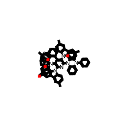 Cc1ccc2c(c1)c1cc(C)ccc1n2-c1nc(N2c3ccccc3N(c3ccccc3)c3ccccc32)c(-n2c3ccc(C)cc3c3cc(C)ccc32)c(-c2cccc3sc4ccccc4c23)c1-n1c2ccc(C)cc2c2cc(C)ccc21